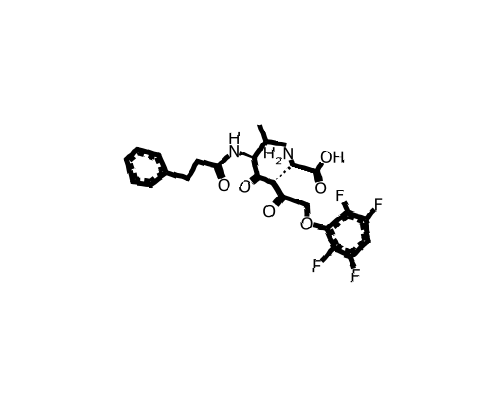 CC(C)[C@H](NC(=O)CCc1ccccc1)C(=O)[C@@H](C(=O)COc1c(F)c(F)cc(F)c1F)C(N)C(=O)O